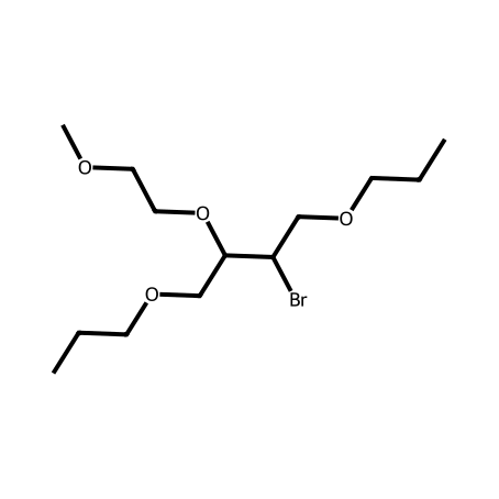 CCCOCC(Br)C(COCCC)OCCOC